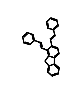 C(=C\c1ccc2c(c1/C=C/c1ccccc1)Cc1ccccc1-2)/c1ccccc1